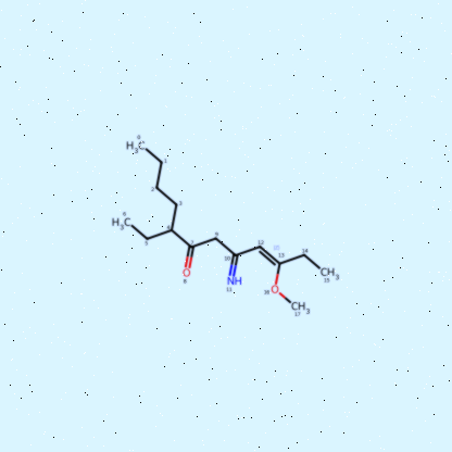 CCCCC(CC)C(=O)CC(=N)/C=C(/CC)OC